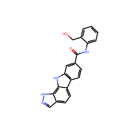 O=C(Nc1ccccc1CO)c1ccc2c(c1)[nH]c1c2ccc2cn[nH]c21